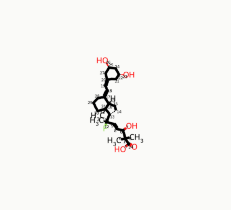 CC(C)(C(=O)O)C(O)/C=C/[C@](C)(F)[C@H]1CC[C@H]2/C(=C/C=C3C[C@@H](O)C[C@H](O)C3)CCC[C@@]21C